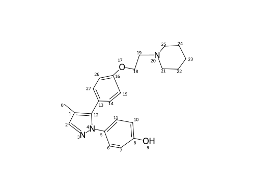 Cc1cnn(-c2ccc(O)cc2)c1-c1ccc(OCCN2CCCCC2)cc1